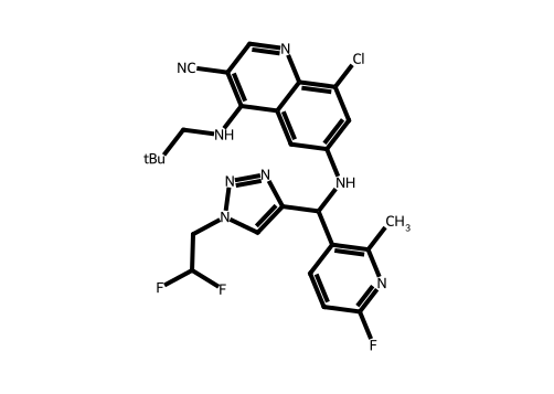 Cc1nc(F)ccc1C(Nc1cc(Cl)c2ncc(C#N)c(NCC(C)(C)C)c2c1)c1cn(CC(F)F)nn1